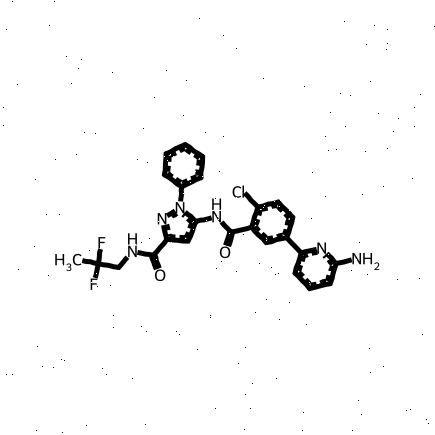 CC(F)(F)CNC(=O)c1cc(NC(=O)c2cc(-c3cccc(N)n3)ccc2Cl)n(-c2ccccc2)n1